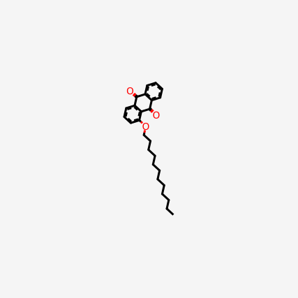 CCCCCCCCCCCCOc1cccc2c1C(=O)c1ccccc1C2=O